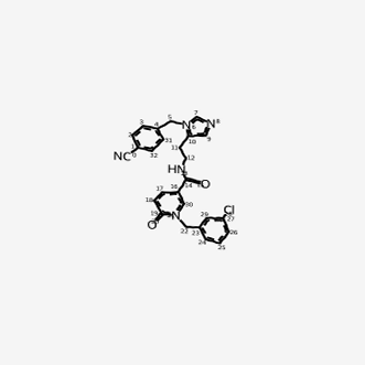 N#Cc1ccc(Cn2cncc2CCNC(=O)c2ccc(=O)n(Cc3cccc(Cl)c3)c2)cc1